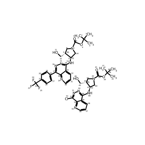 CC(C)(C)OC(=O)N1C[C@@H](CO)[C@H](Nc2nnc(-c3ccc(C(F)(F)F)cc3)c3ncccc23)C1.CC(C)(C)OC(=O)N1C[C@@H](CO)[C@H](Nc2nnc(Cl)c3ncccc23)C1